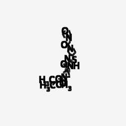 CC(C)(C)OC(=O)N1CC[C@H](C(=O)Nc2nc3c(s2)CCN(C(=O)CN2CCOCC2)C3)C1